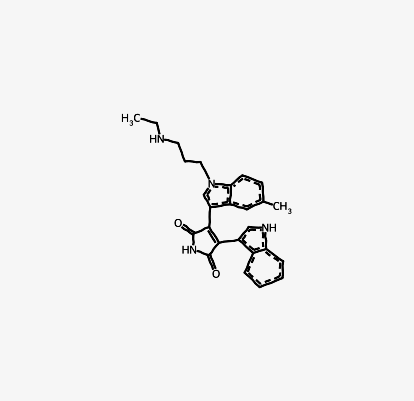 CCNCCCn1cc(C2=C(c3c[nH]c4ccccc34)C(=O)NC2=O)c2cc(C)ccc21